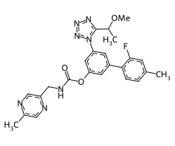 COC(C)c1nnnn1-c1cc(OC(=O)NCc2cnc(C)cn2)cc(-c2ccc(C)cc2F)c1